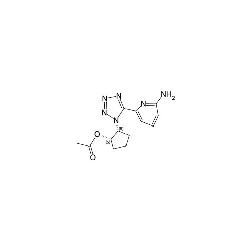 CC(=O)O[C@H]1CCC[C@H]1n1nnnc1-c1cccc(N)n1